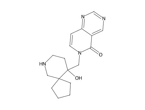 O=c1c2cncnc2ccn1CC1(O)CCNCC12CCCC2